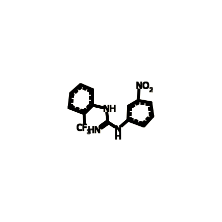 N=C(Nc1cccc([N+](=O)[O-])c1)Nc1ccccc1C(F)(F)F